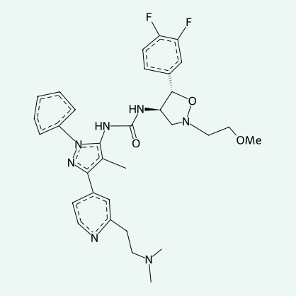 COCCN1C[C@@H](NC(=O)Nc2c(C)c(-c3ccnc(CCN(C)C)c3)nn2-c2ccccc2)[C@H](c2ccc(F)c(F)c2)O1